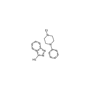 CCN1CCN(c2ccccc2)CC1.Sc1nnc2ccccn12